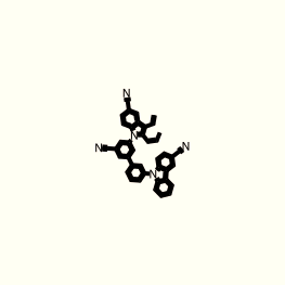 C=Cc1c(/C=C\C)n(-c2cc(C#N)cc(-c3cccc(-n4c5ccccc5c5cc(C#N)ccc54)c3)c2)c2ccc(C#N)cc12